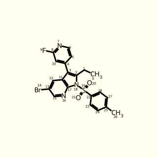 CCc1c(-c2ccnc(F)c2)c2cc(Br)cnc2n1S(=O)(=O)c1ccc(C)cc1